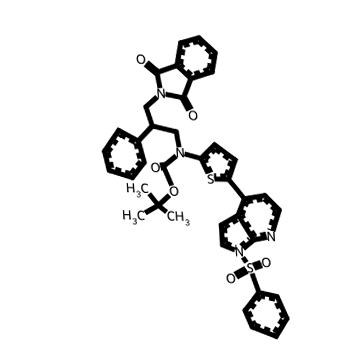 CC(C)(C)OC(=O)N(CC(CN1C(=O)c2ccccc2C1=O)c1ccccc1)c1ccc(-c2ccnc3c2ccn3S(=O)(=O)c2ccccc2)s1